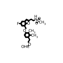 Cc1c(CCOC=O)ccc(OCc2cc(F)cc3cc(CCNS(C)(=O)=O)oc23)c1C